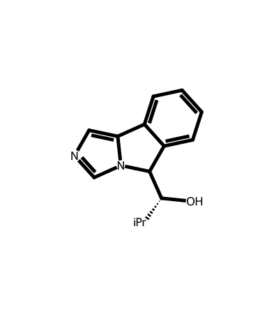 CC(C)[C@@H](O)C1c2ccccc2-c2cncn21